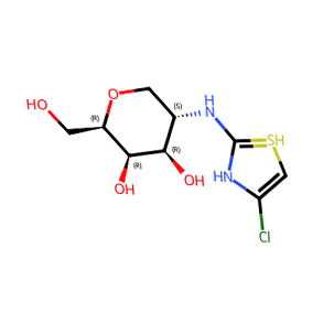 OC[C@H]1OC[C@H](NC2=[SH]C=C(Cl)N2)[C@@H](O)[C@H]1O